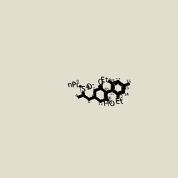 CCC[S+]([O-])C(C)CC1CC(=O)C(c2c(CC)cc(C)cc2CC)=C(O)C1